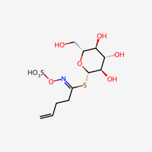 C=CCCC(=NOS(=O)(=O)O)S[C@@H]1O[C@H](CO)[C@@H](O)[C@H](O)[C@H]1O